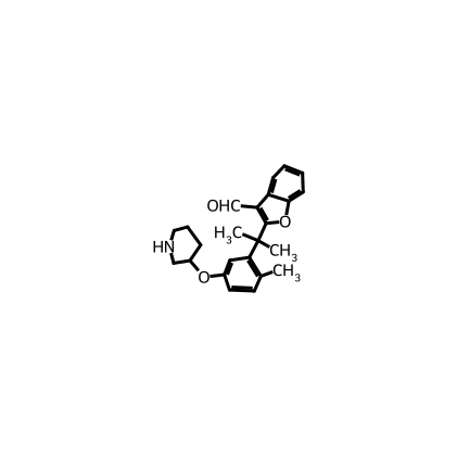 Cc1ccc(OC2CCCNC2)cc1C(C)(C)c1oc2ccccc2c1C=O